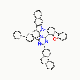 c1ccc(-c2ccc(-c3nc(-c4ccc5c(ccc6ccccc65)c4)nc(-c4c(-n5c6ccccc6c6cc7ccccc7cc65)ccc5c4oc4ccccc45)n3)cc2)cc1